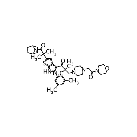 Cc1cc(C)cc(-c2[nH]c3sc(C(C)(C)C(=O)N4C5CCC4CC5)cc3c2C(=O)C(C)(C)CN2CCN(CC(=O)N3CCOCC3)CC2)c1